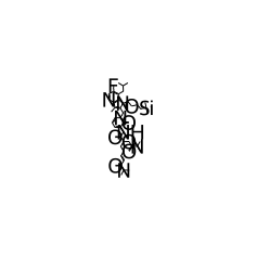 Cc1c(Cn2cccc(NC(=O)C(CC/C=C/C(=O)N(C)C)OC(=O)N(C)C)c2=O)n(COCC[Si](C)(C)C)c2c(CC(C)C)c(F)cnc12